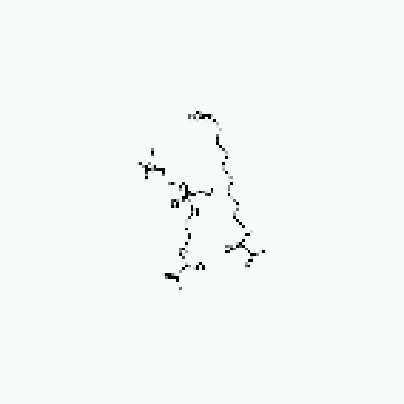 C=C(C)C(=O)OCCCCCCCCCCCCCCCCCC.C=C(C)C(=O)OCCOP(=O)(O)OCC[N+](C)(C)C